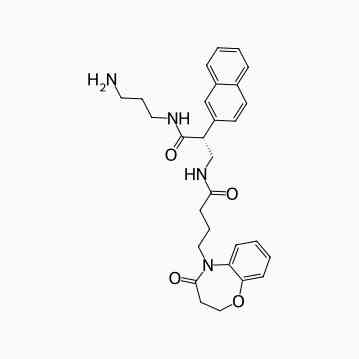 NCCCNC(=O)[C@@H](CNC(=O)CCCN1C(=O)CCOc2ccccc21)c1ccc2ccccc2c1